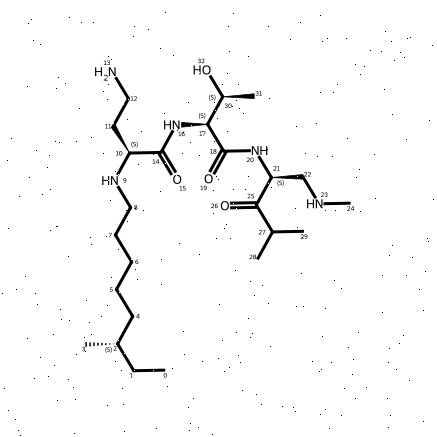 CC[C@H](C)CCCCCN[C@@H](CCN)C(=O)N[C@H](C(=O)N[C@@H](CNC)C(=O)C(C)C)[C@H](C)O